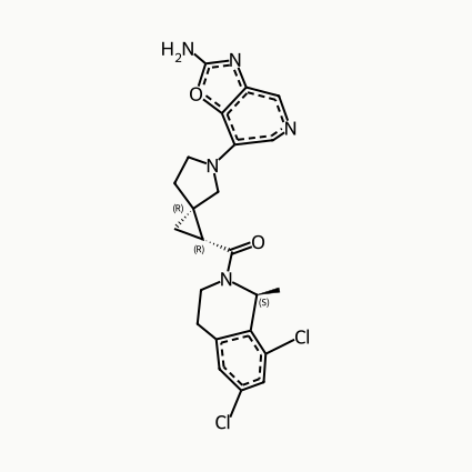 C[C@H]1c2c(Cl)cc(Cl)cc2CCN1C(=O)[C@@H]1C[C@@]12CCN(c1cncc3nc(N)oc13)C2